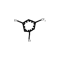 CCc1[c]c(C(F)(F)F)cc(CC)c1